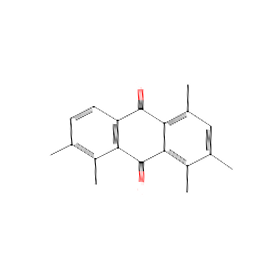 Cc1ccc2c(c1C)C(=O)c1c(C)c(C)cc(C)c1C2=O